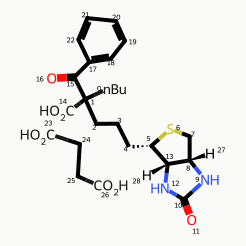 CCCCC(CCC[C@@H]1SC[C@@H]2NC(=O)N[C@@H]21)(C(=O)O)C(=O)c1ccccc1.O=C(O)CCC(=O)O